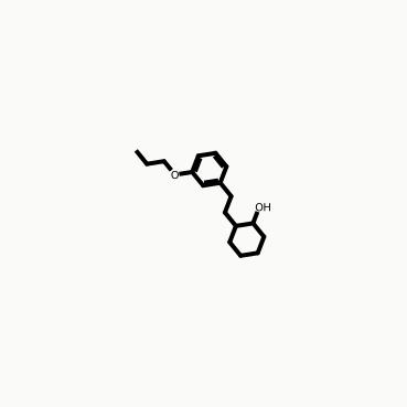 CCCOc1cccc(CCC2CCCCC2O)c1